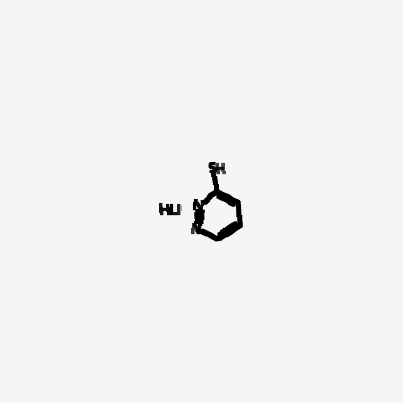 Sc1cccnn1.[LiH]